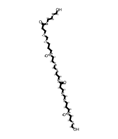 O=C(CCSCSCCC[S+]([O-])CCSCSCCSC(=O)CCSCSCCC[S+]([O-])CCSCO)SCCSCO